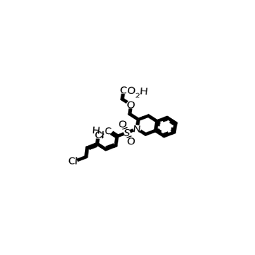 C=C(/C=C\C(Cl)=C/CCl)S(=O)(=O)N1Cc2ccccc2CC1COCC(=O)O